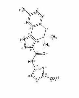 CC1(C)Cc2cnc(N)nc2-c2[nH]nc(C(=O)Nc3nc(C(=O)O)cs3)c21